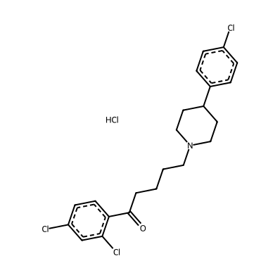 Cl.O=C(CCCCN1CCC(c2ccc(Cl)cc2)CC1)c1ccc(Cl)cc1Cl